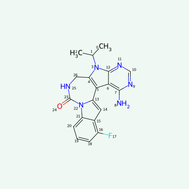 CC(C)n1c2c(c3c(N)ncnc31)-c1cc3c(F)cccc3n1C(=O)NC2